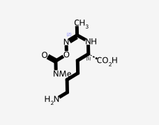 CNC(=O)O/N=C(/C)N[C@@H](CCCCN)C(=O)O